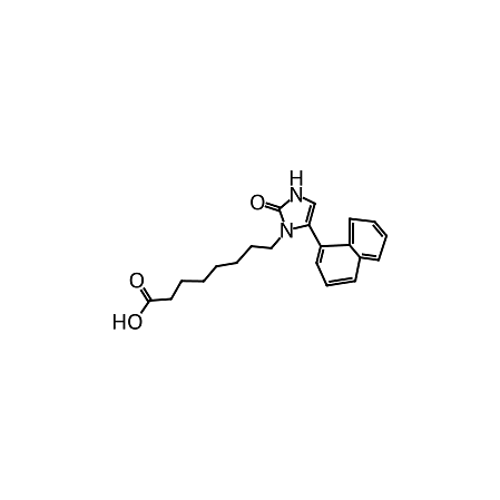 O=C(O)CCCCCCCn1c(-c2cccc3ccccc23)c[nH]c1=O